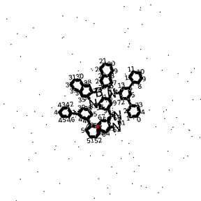 c1ccc(-c2cc(-c3ccccc3)cc(N3c4cc5ccccc5cc4B4c5cc6ccccc6cc5N(c5cc(-c6ccccc6)cc(-c6ccccc6)c5)c5cc(-c6ncnc7ccccc67)cc3c54)c2)cc1